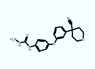 N#CC1(c2cccc(Sc3ccc(NC(=O)NN)cc3)c2)CCOCC1